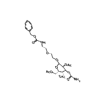 CC(=O)OC[C@@H]1OC(OCCOCCNC(=O)OCc2ccccc2)[C@@H](OC(C)=O)[C@@H](OC(N)=O)[C@@H]1OC(C)=O